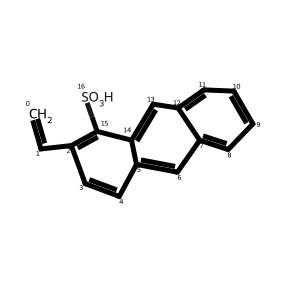 C=Cc1ccc2cc3ccccc3cc2c1S(=O)(=O)O